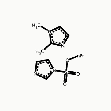 CCCOS(=O)(=O)n1ccnc1.Cc1nccn1C